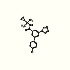 CC(C)(NC(=O)c1cc(-c2ccc(Cl)cc2)cc(-n2cnnn2)c1)C1CC1